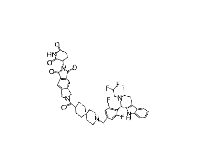 C[C@@H]1Cc2c([nH]c3ccccc23)[C@@H](c2c(F)cc(CN3CCC4(CCC(C(=O)N5Cc6cc7c(cc6C5)C(=O)N(C5CCC(=O)NC5=O)C7=O)CC4)CC3)cc2F)N1CC(F)F